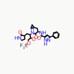 O=C(NC(CC1CC1)C(=O)NC(CC1CCNC1=O)C(=O)COC(F)(F)F)c1cc(-c2ccccc2)n[nH]1